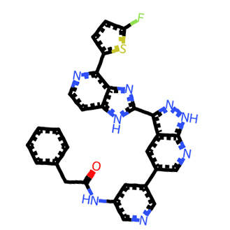 O=C(Cc1ccccc1)Nc1cncc(-c2cnc3[nH]nc(-c4nc5c(-c6ccc(F)s6)nccc5[nH]4)c3c2)c1